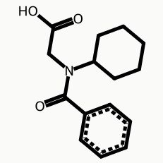 O=C(O)CN(C(=O)c1ccccc1)C1CCCCC1